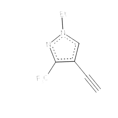 C#Cc1cn(CC)nc1C(F)(F)F